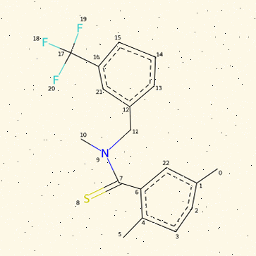 Cc1ccc(C)c(C(=S)N(C)Cc2cccc(C(F)(F)F)c2)c1